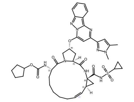 Cc1cc(-c2cc(O[C@@H]3C[C@H]4C(=O)N[C@]5(C(=O)NS(=O)(=O)C6CC6)C[C@H]5/C=C\CCCCC[C@H](NC(=O)OC5CCCC5)C(=O)N4C3)n3nc4ccccc4c3n2)nn1C